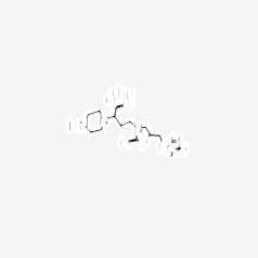 CC(C)(C)OC(=O)C(CCN1CC(COS(C)(=O)=O)OC1=O)N1CCNCC1